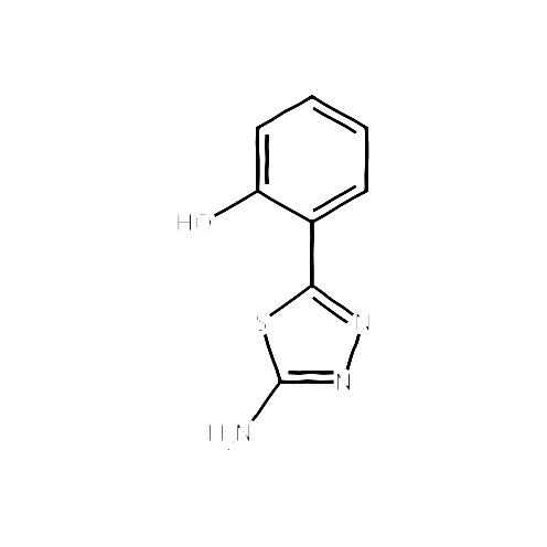 Nc1nnc(-c2ccccc2O)s1